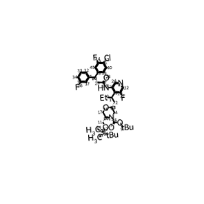 CCC(C[C@@H]1CN(C(=O)OC(C)(C)C)[C@H](CO[Si](C)(C)C(C)(C)C)CO1)c1c(F)cncc1NC(=O)C[C@H](c1cccc(F)c1)c1ccc(Cl)c(F)c1